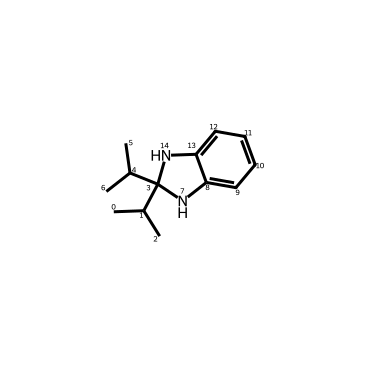 CC(C)C1(C(C)C)Nc2ccccc2N1